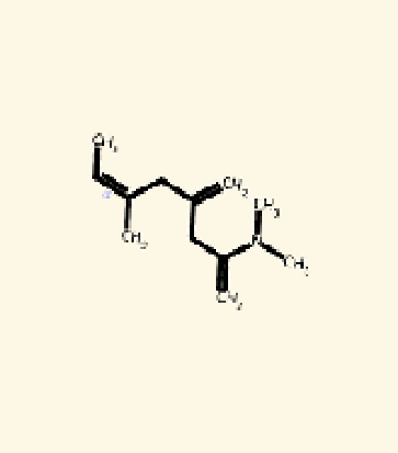 C=C(CC(=C)N(C)C)C/C(C)=C\C